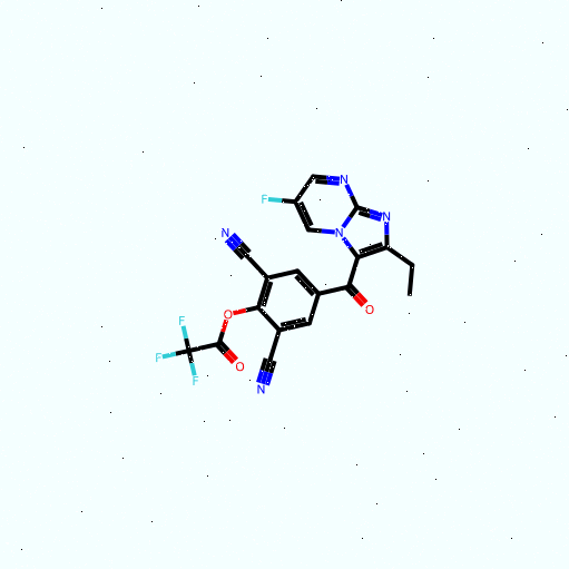 CCc1nc2ncc(F)cn2c1C(=O)c1cc(C#N)c(OC(=O)C(F)(F)F)c(C#N)c1